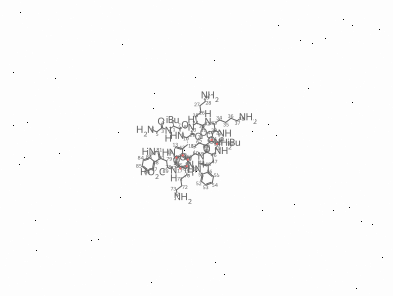 CC[C@H](C)[C@H](NC(=O)CN)C(=O)N[C@@H](Cc1c[nH]c2ccccc12)C(=O)N[C@@H](CCCCN)C(=O)N[C@@H](CCCCN)C(=O)N[C@H](C(=O)N[C@@H](Cc1c[nH]c2ccccc12)C(=O)N[C@@H](CCCCN)C(=O)N[C@@H](CCCCN)C(=O)N[C@@H](Cc1c[nH]c2ccccc12)C(=O)O)[C@@H](C)CC